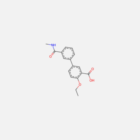 CCOc1ccc(-c2cccc(C(=O)NC)c2)cc1C(=O)O